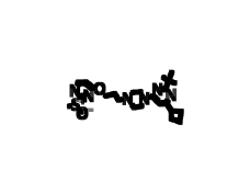 C[S+]([O-])c1nccc(OCCCN2CCN(c3cc(C4CCC4)nc(C(C)(C)C)n3)CC2)n1